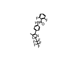 Cc1oc(C(F)(F)C(F)(F)F)nc1-c1ccc(NC(=O)c2c(F)cccc2F)cc1